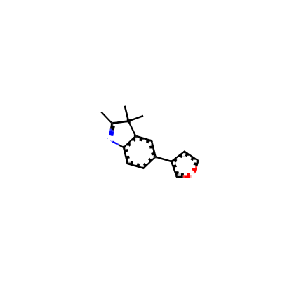 CC1=Nc2ccc(-c3ccoc3)cc2C1(C)C